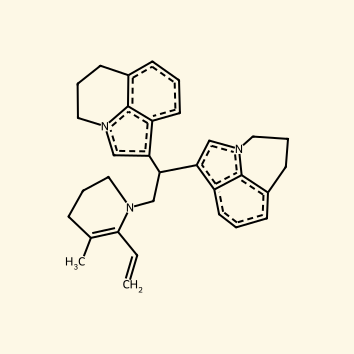 C=CC1=C(C)CCCN1CC(c1cn2c3c(cccc13)CCC2)c1cn2c3c(cccc13)CCC2